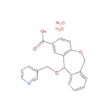 O.O.O=C(O)c1ccc2c(c1)C(OCc1cccnc1)c1ccccc1CO2